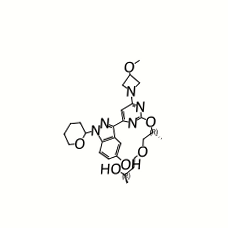 COC1CN(c2cc(-c3nn(C4CCCCO4)c4ccc(O)cc34)nc(O[C@H](C)COCC[C@@H](C)O)n2)C1